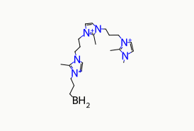 BCCC[n+]1ccn(CCC[n+]2ccn(CCC[n+]3ccn(C)c3C)c2C)c1C